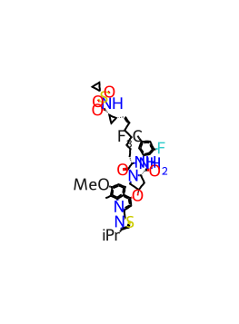 COc1ccc2c(O[C@@H]3C[C@@H](C(N)=O)N(C(=O)[C@H](CCCCC/C=C\[C@@H]4C[C@@H]4C(=O)NS(=O)(=O)C4CC4)Nc4cc(F)cc(C(F)(F)F)c4)C3)cc(-c3nc(C(C)C)cs3)nc2c1C